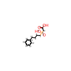 O=C(O)CP(=O)(O)CCCCc1ccccc1